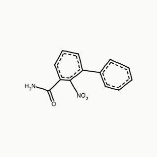 NC(=O)c1cccc(-c2ccccc2)c1[N+](=O)[O-]